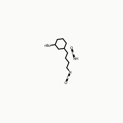 CCCCC1CCCC(CCCCN=C=O)C1.N=C=O